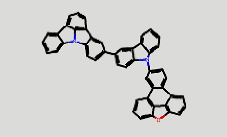 c1cc2oc3cccc4c5cc(-n6c7ccccc7c7cc(-c8ccc9c(c8)c8cccc%10c%11ccccc%11n9c%108)ccc76)ccc5c(c1)c2c34